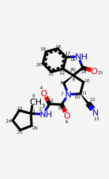 CC1(NC(=O)C(=O)N2C[C@]3(C[C@H]2C#N)C(=O)Nc2ccccc23)CCCC1